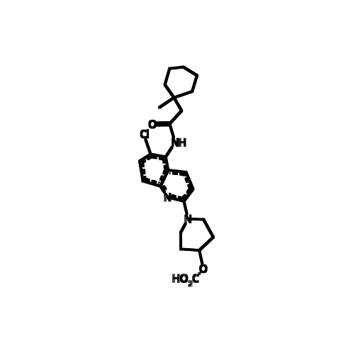 CC1(CC(=O)Nc2c(Cl)ccc3nc(N4CCC(OC(=O)O)CC4)ccc23)CCCCC1